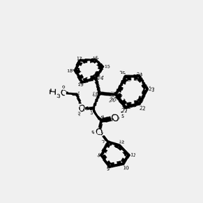 CCOC(C(=O)Oc1ccccc1)C(c1ccccc1)c1ccccc1